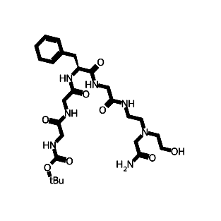 CC(C)(C)OC(=O)NCC(=O)NCC(=O)N[C@@H](CC1=CCCC=C1)C(=O)NCC(=O)NCCN(CCO)CC(N)=O